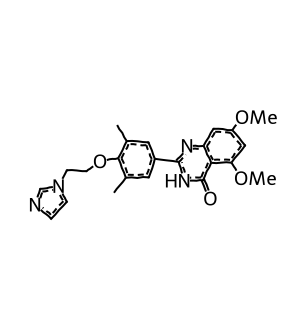 COc1cc(OC)c2c(=O)[nH]c(-c3cc(C)c(OCCn4ccnc4)c(C)c3)nc2c1